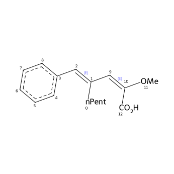 CCCCCC(=C\c1ccccc1)/C=C(/OC)C(=O)O